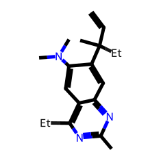 C=CC(C)(CC)c1cc2nc(C)nc(CC)c2cc1N(C)C